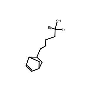 CCC(O)(CC)CCCCC1CC2C=CC1C2